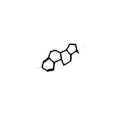 CC(=O)[C@@]1(O)CCC2C3CCC4=C[C@@H](O)C=C[C@]4(C)C3CC[C@@]21C